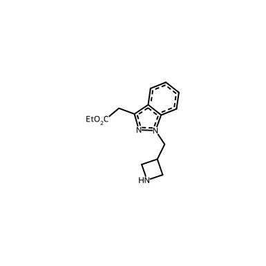 CCOC(=O)Cc1nn(CC2CNC2)c2ccccc12